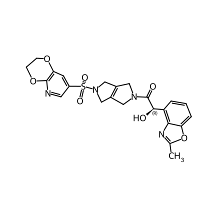 Cc1nc2c([C@@H](O)C(=O)N3CC4=C(C3)CN(S(=O)(=O)c3cnc5c(c3)OCCO5)C4)cccc2o1